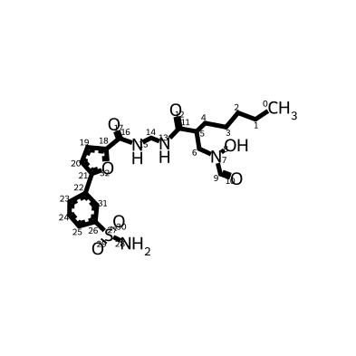 CCCCCC(CN(O)C=O)C(=O)NCNC(=O)c1ccc(-c2cccc(S(N)(=O)=O)c2)o1